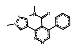 CN(C)C(=O)c1c(-c2ccccc2)cnnc1-c1cnn(C)c1